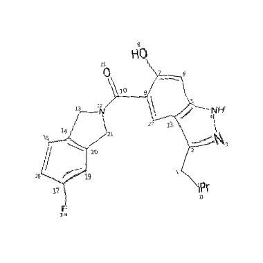 CC(C)Cc1n[nH]c2cc(O)c(C(=O)N3Cc4ccc(F)cc4C3)cc12